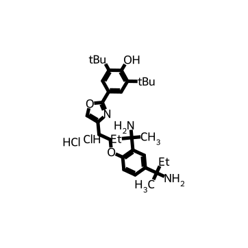 CCC(C)(N)c1ccc(OCCc2coc(-c3cc(C(C)(C)C)c(O)c(C(C)(C)C)c3)n2)c(C(C)(N)CC)c1.Cl.Cl